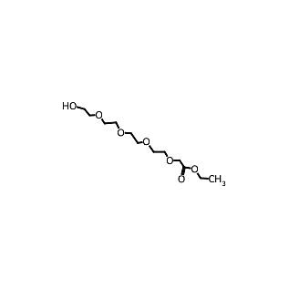 CCOC(=O)COCCOCCOCCOCCO